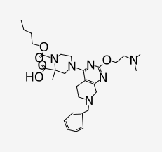 CCCCOC(=O)N1CCN(c2nc(OCCN(C)C)nc3c2CCN(Cc2ccccc2)C3)CC1(C)C(=O)O